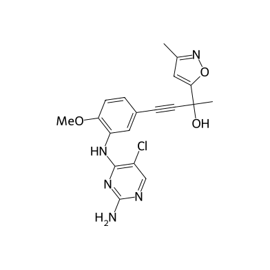 COc1ccc(C#CC(C)(O)c2cc(C)no2)cc1Nc1nc(N)ncc1Cl